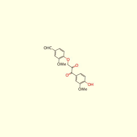 COc1cc(C(=O)C(=O)COc2ccc(C=O)cc2OC)ccc1O